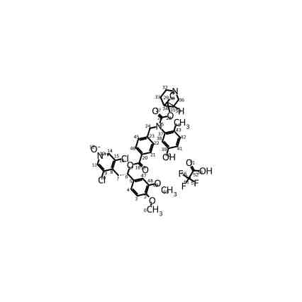 COc1ccc([C@H](Cc2c(Cl)c[n+]([O-])cc2Cl)OC(=O)c2ccc(CN(C(=O)O[C@H]3CN4CCC3CC4)c3cc(O)ccc3C)cc2)cc1OC.O=C(O)C(F)(F)F